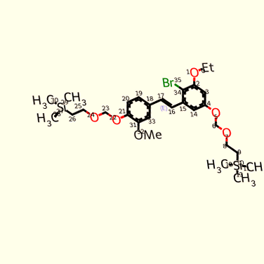 CCOc1cc(OCOCC[Si](C)(C)C)cc(/C=C/c2ccc(OCOCC[Si](C)(C)C)c(OC)c2)c1Br